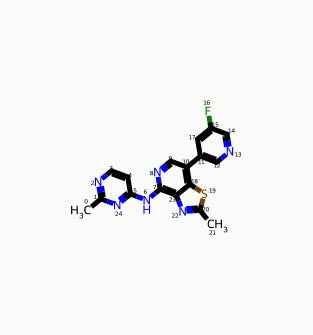 Cc1nccc(Nc2ncc(-c3cncc(F)c3)c3sc(C)nc23)n1